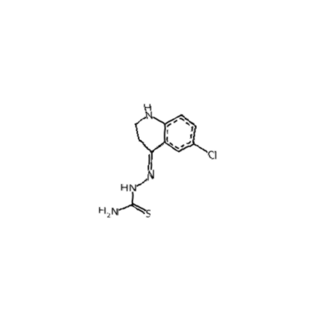 NC(=S)NN=C1CCNc2ccc(Cl)cc21